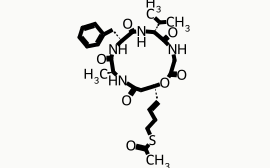 CC(=O)SCCC=C[C@@H]1CC(=O)N[C@H](C)C(=O)N[C@H](Cc2ccccc2)C(=O)N[C@H](C(C)C)C(=O)NCC(=O)O1